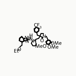 CCOCCc1cccc2[nH]c(NC3CCCCN3CCC3(Cc4ccc(C(F)(F)F)cc4)CCN(Cc4cc(OC)c(OC)c(OC)c4)C3=O)nc12